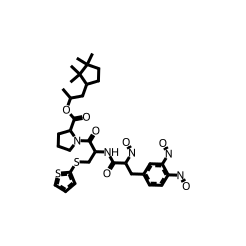 CC(CC1CCC(C)(C)C1(C)C)OC(=O)C1CCCN1C(=O)C(CSc1cccs1)NC(=O)C(Cc1ccc(N=O)c(N=O)c1)N=O